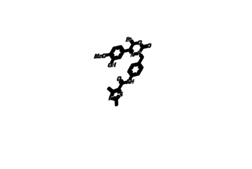 CCC1OC(=O)N(Cc2ccc(NC(=O)c3sc(C)nc3C)cc2)N=C1c1ccc(OC)c(O)c1